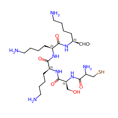 NCCCC[C@@H]([C]=O)NC(=O)[C@H](CCCCN)NC(=O)[C@H](CCCCN)NC(=O)[C@H](CO)NC(=O)C(N)CS